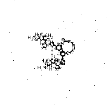 COC(=O)N[C@H](C(=O)N1CCC[C@H]1c1ncc(-c2ccc3c(c2)NC(=O)COCCOCCOc2cc(-c4cnc([C@@H]5CCCN5C(=O)[C@@H](NC(=O)OC)C(C)C)[nH]4)ccc2-3)[nH]1)C(C)C